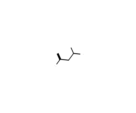 NC(=O)C[C](O)O